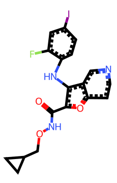 O=C(NOCC1CC1)c1oc2ccncc2c1Nc1ccc(I)cc1F